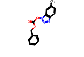 O=C(OCc1ccccc1)On1nnc2ccc(C(F)(F)F)cc21